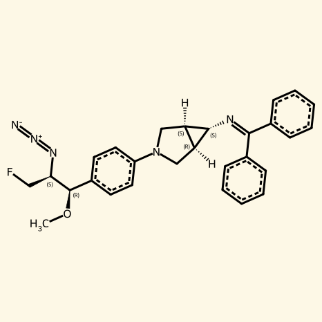 CO[C@H](c1ccc(N2C[C@@H]3[C@H](C2)[C@H]3N=C(c2ccccc2)c2ccccc2)cc1)[C@@H](CF)N=[N+]=[N-]